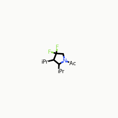 CC(=O)N1CC(F)(F)C(C(C)C)C1C(C)C